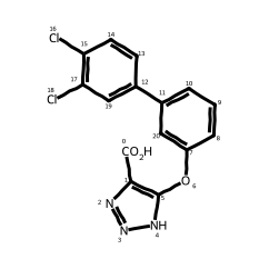 O=C(O)c1nn[nH]c1Oc1cccc(-c2ccc(Cl)c(Cl)c2)c1